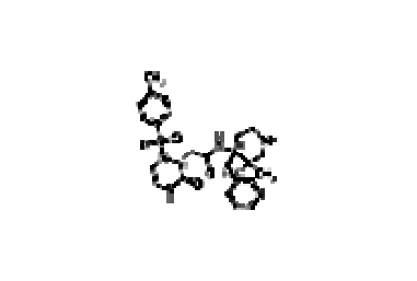 Cc1ccc(S(=O)(=O)N2C=CNC(=O)[C@H]2CC(=O)N[C@]2(Cc3cccnc3)CCNCC2(C)C)cc1